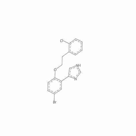 Clc1ccccc1CCOc1ccc(Br)cc1-c1c[nH]cn1